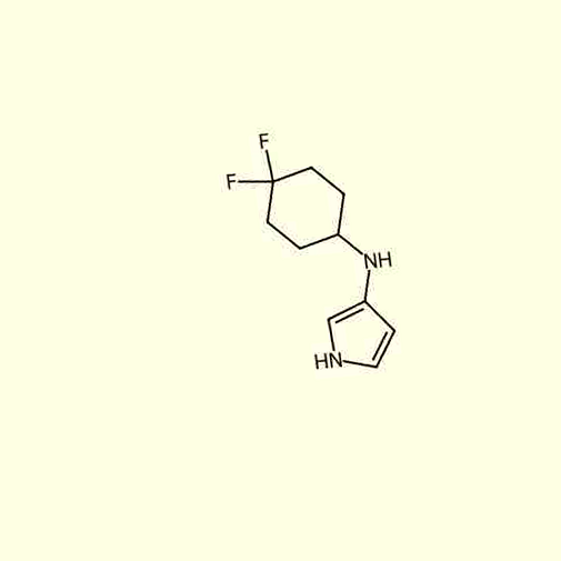 FC1(F)CCC(Nc2cc[nH]c2)CC1